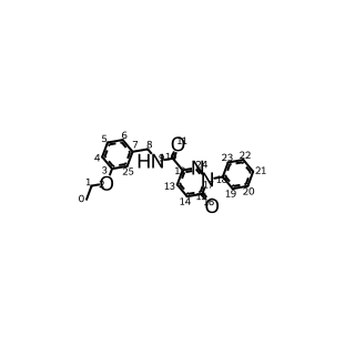 CCOc1cccc(CNC(=O)c2ccc(=O)n(-c3ccccc3)n2)c1